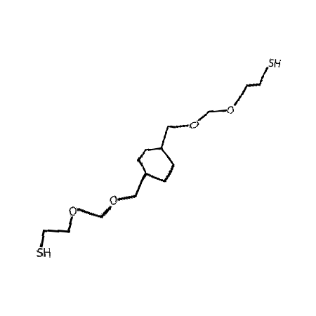 SCCOCOCC1CCC(COCOCCS)CC1